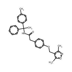 Cc1ccc(C(C)(NC(=O)Cc2ccc(OCc3c(C)noc3C)cc2)c2ccccc2)cc1